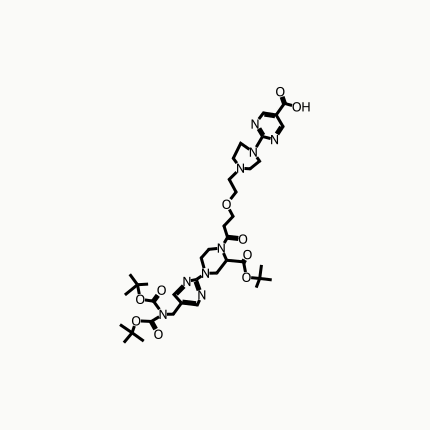 CC(C)(C)OC(=O)C1CN(c2ncc(CN(C(=O)OC(C)(C)C)C(=O)OC(C)(C)C)cn2)CCN1C(=O)CCOCCN1CCN(c2ncc(C(=O)O)cn2)CC1